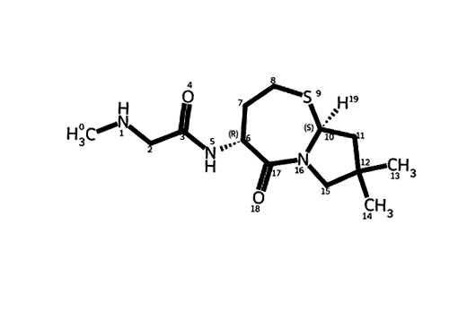 CNCC(=O)N[C@@H]1CCS[C@H]2CC(C)(C)CN2C1=O